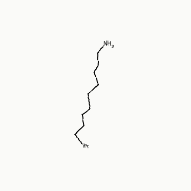 CC(C)CCCCCCCCCN